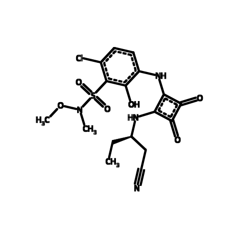 CC[C@H](CC#N)Nc1c(Nc2ccc(Cl)c(S(=O)(=O)N(C)OC)c2O)c(=O)c1=O